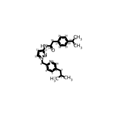 CC(C)Cc1ccc(Cn2ccc(NC(=O)Cc3ccc(C(C)C)cc3)n2)nc1